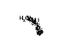 Cc1ccc(NC(=O)COCc2ccc(-c3ccccc3F)cc2)cn1